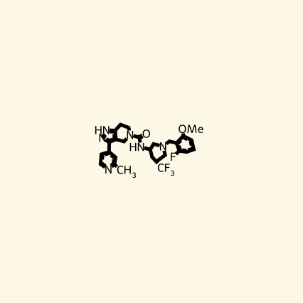 COc1cccc(F)c1CN1CC(NC(=O)N2CCc3[nH]nc(-c4ccnc(C)c4)c3C2)CC(C(F)(F)F)C1